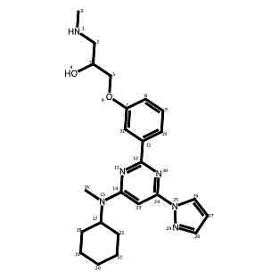 CNCC(O)COc1cccc(-c2nc(N(C)C3CCCCC3)cc(-n3cccn3)n2)c1